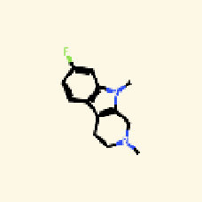 CN1CCc2c(n(C)c3cc(F)ccc23)C1